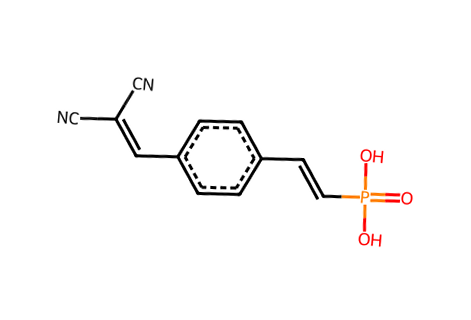 N#CC(C#N)=Cc1ccc(C=CP(=O)(O)O)cc1